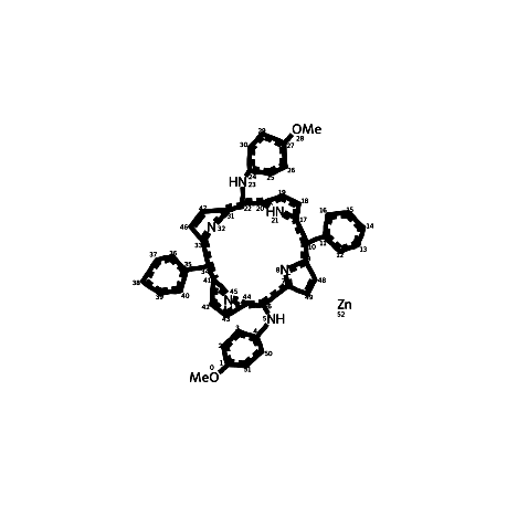 COc1ccc(Nc2c3nc(c(-c4ccccc4)c4ccc([nH]4)c(Nc4ccc(OC)cc4)c4nc(c(-c5ccccc5)c5ccc2[nH]5)C=C4)C=C3)cc1.[Zn]